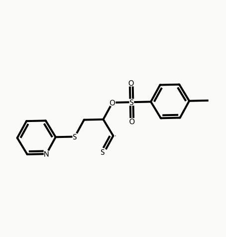 Cc1ccc(S(=O)(=O)OC([C]=S)CSc2ccccn2)cc1